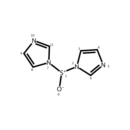 [O-][S+](n1ccnc1)n1ccnc1